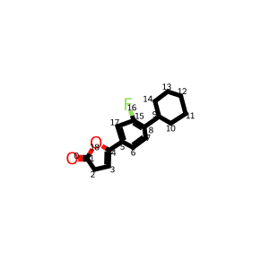 O=C1CC=C(c2ccc(C3CCCCC3)c(F)c2)O1